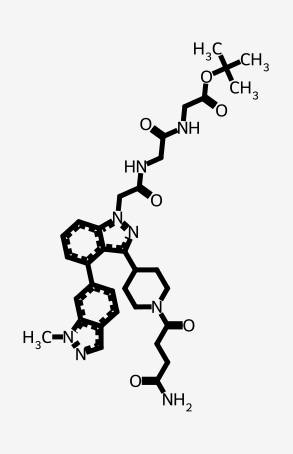 Cn1ncc2ccc(-c3cccc4c3c(C3CCN(C(=O)CCC(N)=O)CC3)nn4CC(=O)NCC(=O)NCC(=O)OC(C)(C)C)cc21